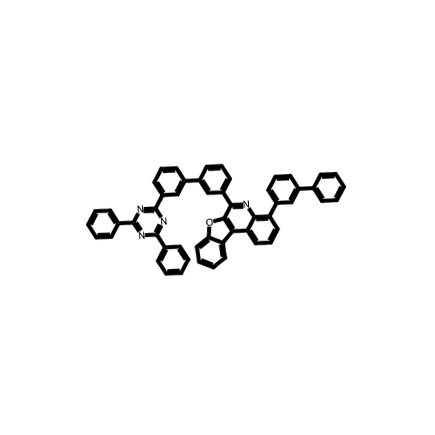 c1ccc(-c2cccc(-c3cccc4c3nc(-c3cccc(-c5cccc(-c6nc(-c7ccccc7)nc(-c7ccccc7)n6)c5)c3)c3oc5ccccc5c34)c2)cc1